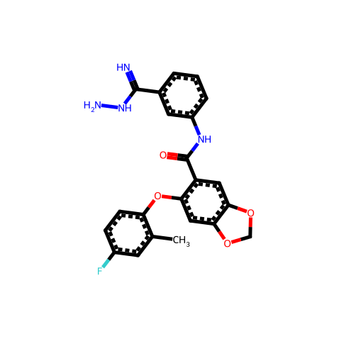 Cc1cc(F)ccc1Oc1cc2c(cc1C(=O)Nc1cccc(C(=N)NN)c1)OCO2